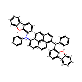 c1ccc(C(c2ccc3ccc4c(N(c5ccccc5)c5cccc6c5oc5ccccc56)ccc5ccc2c3c54)c2cccc3c2oc2ccccc23)cc1